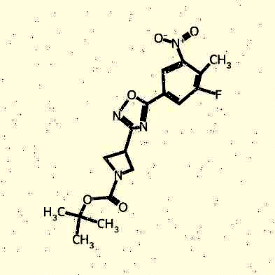 Cc1c(F)cc(-c2nc(C3CN(C(=O)OC(C)(C)C)C3)no2)cc1[N+](=O)[O-]